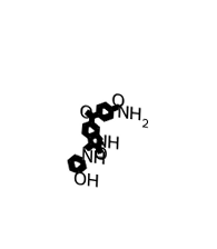 NC(=O)c1ccc(C(=O)c2ccc3c(c2)NC(=O)C3=CNc2cccc(O)c2)cc1